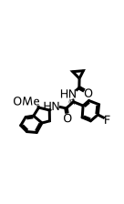 COC1c2ccccc2CC1NC(=O)[C@H](NC(=O)C1CC1)c1ccc(F)cc1